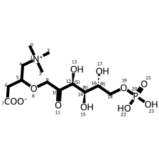 C[N+](C)(C)CC(CC(=O)[O-])OCC(=O)[C@@H](O)[C@H](O)[C@H](O)COP(=O)(O)O